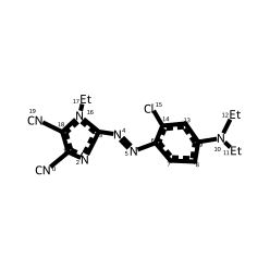 [C-]#[N+]c1nc(N=Nc2ccc(N(CC)CC)cc2Cl)n(CC)c1[N+]#[C-]